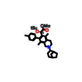 COC(=O)[C@@H](OC(C)(C)C)c1c(C)c2c(c(C)c1-c1ccc(C)cc1)CN(C1CCC3CCC1C3)CC2